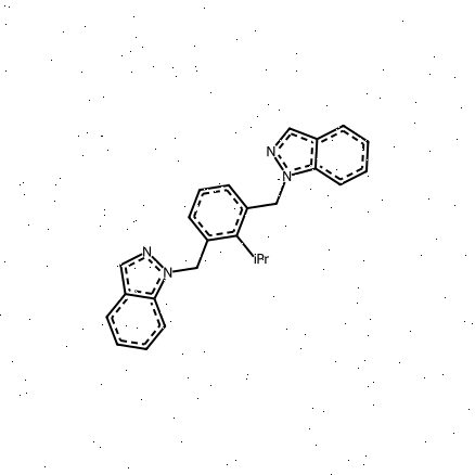 CC(C)c1c(Cn2ncc3ccccc32)cccc1Cn1ncc2ccccc21